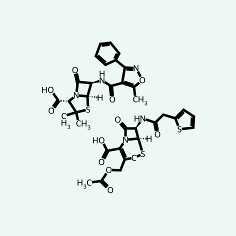 CC(=O)OCC1=C(C(=O)O)N2C(=O)[C@@H](NC(=O)Cc3cccs3)[C@H]2SC1.Cc1onc(-c2ccccc2)c1C(=O)N[C@@H]1C(=O)N2[C@@H]1SC(C)(C)[C@@H]2C(=O)O